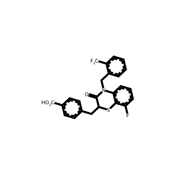 O=C(O)c1ccc(CC2Sc3c(F)cccc3N(Cc3ccccc3C(F)(F)F)C2=O)cc1